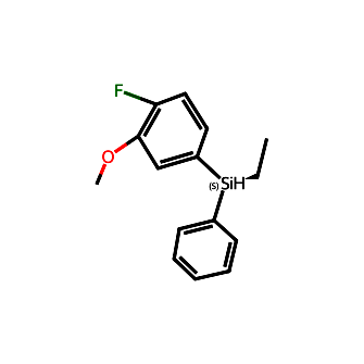 CC[Si@@H](c1ccccc1)c1ccc(F)c(OC)c1